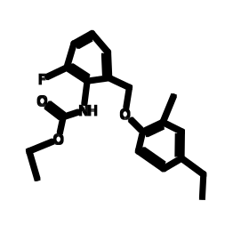 CCOC(=O)Nc1c(F)cccc1COc1ccc(CC)cc1C